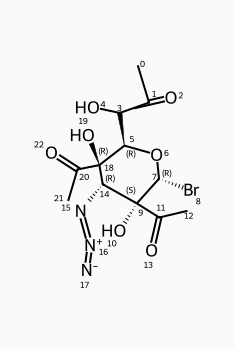 CC(=O)C(O)[C@H]1O[C@H](Br)[C@@](O)(C(C)=O)[C@H](N=[N+]=[N-])[C@]1(O)C(C)=O